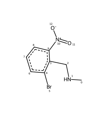 CNCc1c(Br)cccc1[N+](=O)[O-]